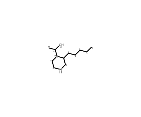 CCCCCC1CNCCN1C(C)O